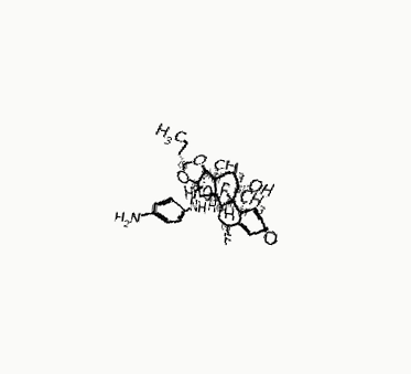 CCC[C@H]1O[C@@H]2C[C@H]3[C@@H]4C[C@H](F)C5=CC(=O)C=C[C@]5(C)[C@@]4(F)[C@@H](O)C[C@]3(C)[C@]2(C(=O)CNc2ccc(N)cc2)O1